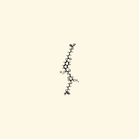 CC(OC(=O)COC(=O)C(C)c1ccc2cc(OC(=O)CCCCCO[N+](=O)[O-])ccc2c1)C(=O)OCCCCO[N+](=O)[O-]